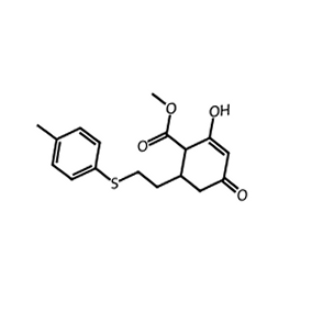 COC(=O)C1C(O)=CC(=O)CC1CCSc1ccc(C)cc1